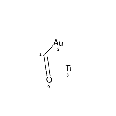 O=[CH][Au].[Ti]